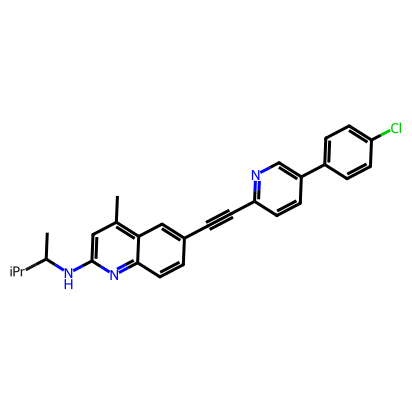 Cc1cc(NC(C)C(C)C)nc2ccc(C#Cc3ccc(-c4ccc(Cl)cc4)cn3)cc12